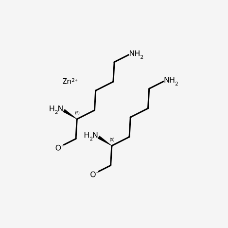 NCCCC[C@H](N)C[O-].NCCCC[C@H](N)C[O-].[Zn+2]